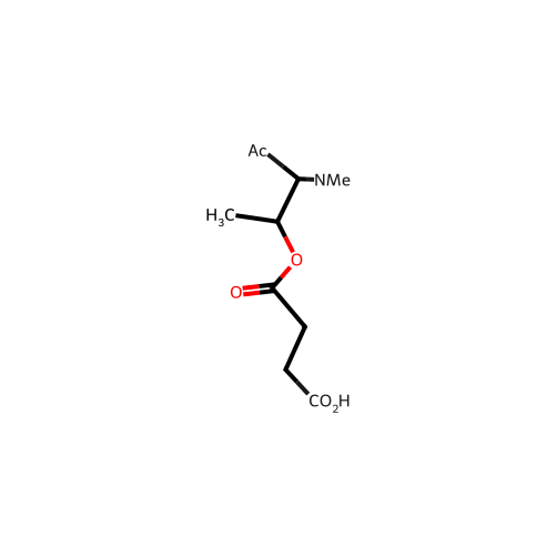 CNC(C(C)=O)C(C)OC(=O)CCC(=O)O